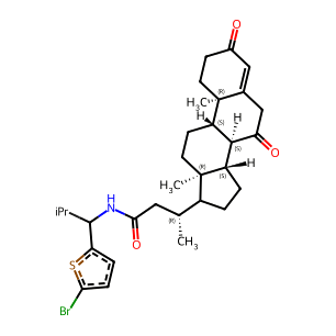 CC(C)C(NC(=O)C[C@@H](C)C1CC[C@H]2[C@@H]3C(=O)CC4=CC(=O)CC[C@]4(C)[C@H]3CC[C@]12C)c1ccc(Br)s1